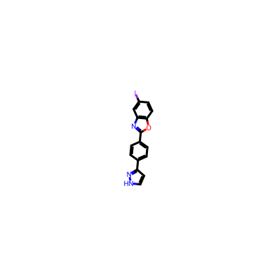 Ic1ccc2oc(-c3ccc(-c4cc[nH]n4)cc3)nc2c1